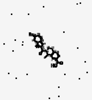 CC1c2cc(C(=O)O)ccc2CCN1C(=O)c1cc2ncc(Br)cn2n1